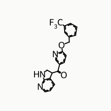 O=C(c1ccc(OCc2cccc(C(F)(F)F)c2)nc1)C1CNc2ncccc21